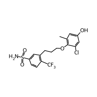 Cc1cc(O)cc(Cl)c1OCCCc1cc(S(N)(=O)=O)ccc1C(F)(F)F